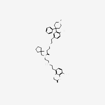 CN1CCC(c2ccccc2)(c2cc(CCOCCC(=O)N(CCNCCc3ccc(O)c4c3OCC(=O)N4)CC3(C)CCCC3)ccc2O)CC1